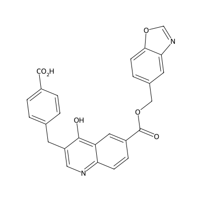 O=C(O)c1ccc(Cc2cnc3ccc(C(=O)OCc4ccc5ocnc5c4)cc3c2O)cc1